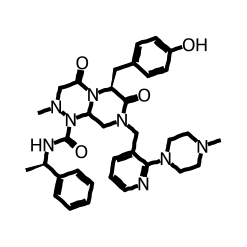 C[C@@H](NC(=O)N1C2CN(Cc3cccnc3N3CCN(C)CC3)C(=O)[C@H](Cc3ccc(O)cc3)N2C(=O)CN1C)c1ccccc1